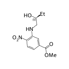 CC[C@H](O)CNc1cc(C(=O)OC)ccc1[N+](=O)[O-]